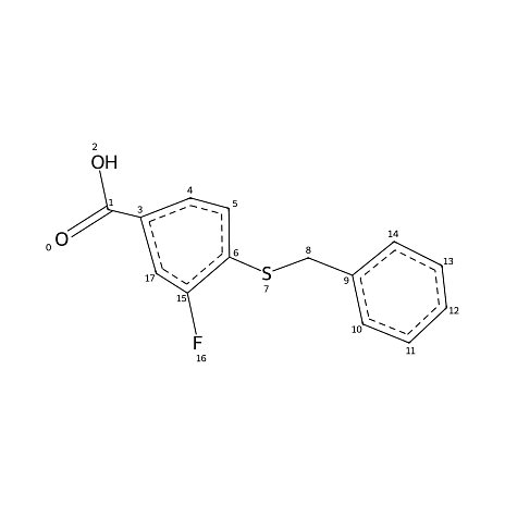 O=C(O)c1ccc(SCc2ccccc2)c(F)c1